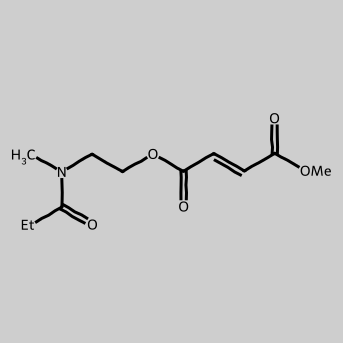 CCC(=O)N(C)CCOC(=O)/C=C/C(=O)OC